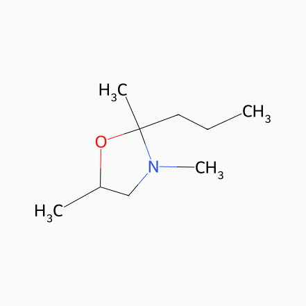 CCCC1(C)OC(C)CN1C